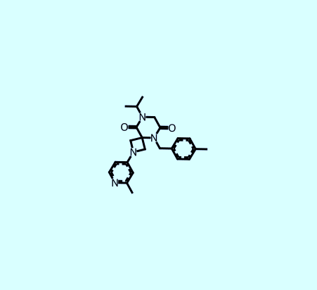 Cc1ccc(CN2C(=O)CN(C(C)C)C(=O)C23CN(c2ccnc(C)c2)C3)cc1